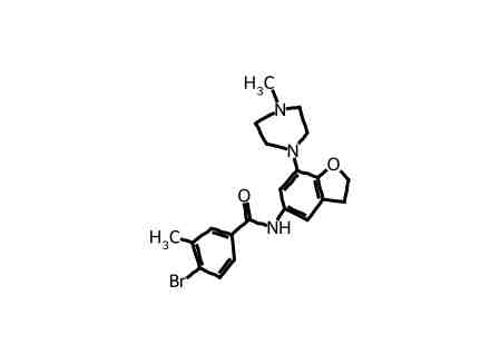 Cc1cc(C(=O)Nc2cc3c(c(N4CCN(C)CC4)c2)OCC3)ccc1Br